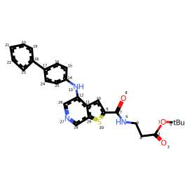 CC(C)(C)OC(=O)CCNC(=O)c1cc2c(Nc3ccc(-c4ccccc4)cc3)cncc2s1